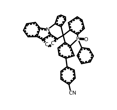 N#Cc1ccc(-c2ccc3c(c2)P(=O)(c2ccccc2)c2ccccc2C32c3ccccc3-n3c4ccccc4c4cccc2c43)cc1